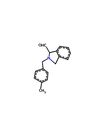 Cc1ccc(CN2Cc3ccccc3C2C=O)cc1